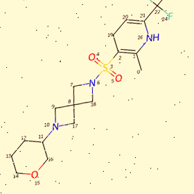 CC1=C(S(=O)(=O)N2CC3(CN(C4CCCOC4)C3)C2)CC=C(C(F)(F)F)N1